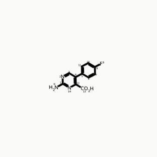 Nc1ncc(-c2ccc(F)cc2)c(C(=O)O)n1